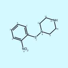 O=[N+]([O-])c1ccccc1SN1CCNCC1